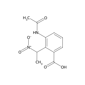 CC(=O)Nc1cccc(C(=O)O)c1C(C)[N+](=O)[O-]